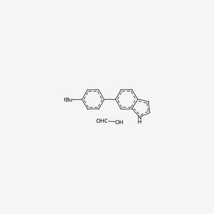 CC(C)(C)c1ccc(-c2ccc3cc[nH]c3c2)cc1.O=CO